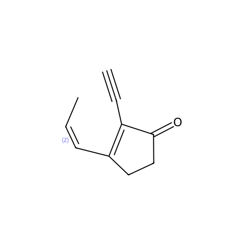 C#CC1=C(/C=C\C)CCC1=O